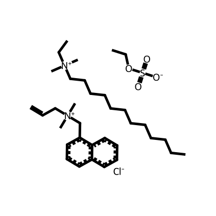 C=CC[N+](C)(C)Cc1cccc2ccccc12.CCCCCCCCCCCC[N+](C)(C)CC.CCOS(=O)(=O)[O-].[Cl-]